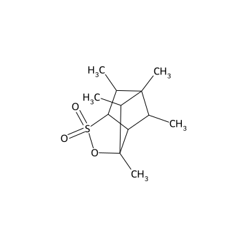 CC1C2C3C(C)C1(C)C(C)C2(C)OS3(=O)=O